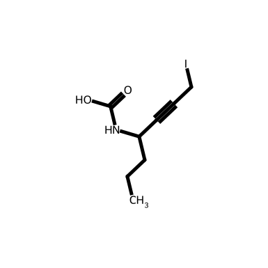 CCCC(C#CCI)NC(=O)O